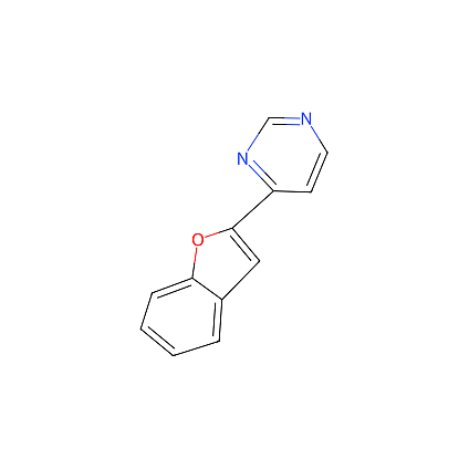 c1ccc2oc(-c3ccncn3)cc2c1